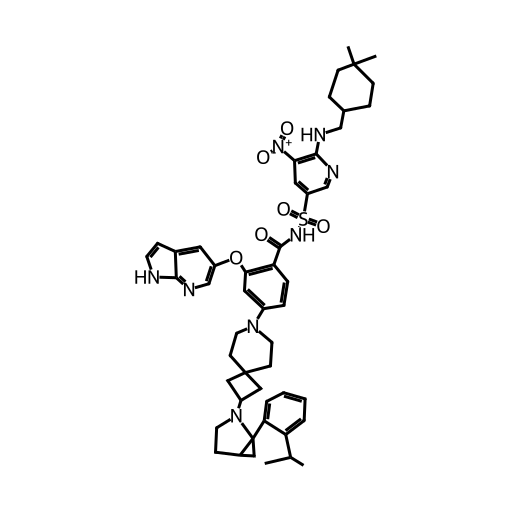 CC(C)c1ccccc1C12CC1CCN2C1CC2(CCN(c3ccc(C(=O)NS(=O)(=O)c4cnc(NCC5CCC(C)(C)CC5)c([N+](=O)[O-])c4)c(Oc4cnc5[nH]ccc5c4)c3)CC2)C1